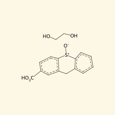 O=C(O)c1ccc2c(c1)Cc1ccccc1[S+]2[O-].OCCO